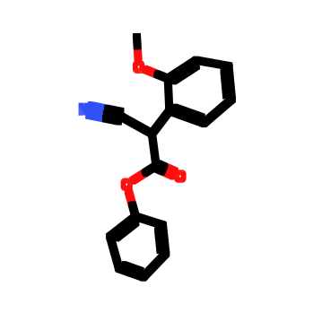 COc1ccccc1C(C#N)C(=O)Oc1ccccc1